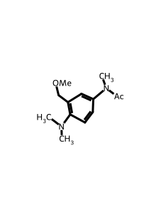 COCc1cc(N(C)C(C)=O)ccc1N(C)C